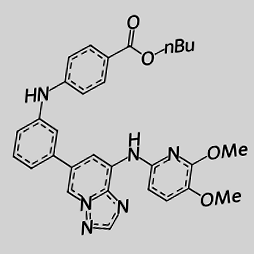 CCCCOC(=O)c1ccc(Nc2cccc(-c3cc(Nc4ccc(OC)c(OC)n4)c4ncnn4c3)c2)cc1